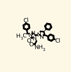 C[C@@H](c1ccc(Cl)cc1)n1nc(N2C[C@@H](c3ccccc3)C(c3ccc(Cl)cc3)=N2)n(CC(N)=O)c1=O